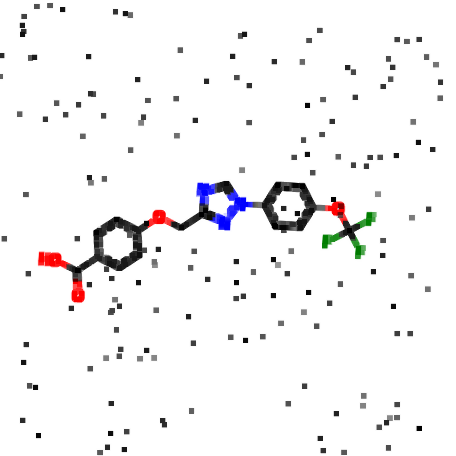 O=C(O)c1ccc(OCc2ncn(-c3ccc(OC(F)(F)F)cc3)n2)cc1